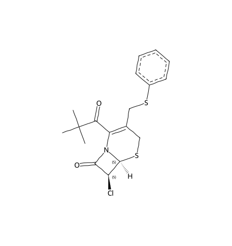 CC(C)(C)C(=O)C1=C(CSc2ccccc2)CS[C@H]2[C@@H](Cl)C(=O)N12